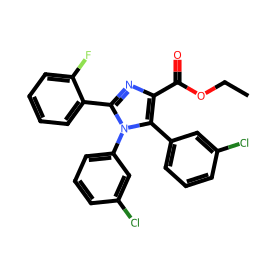 CCOC(=O)c1nc(-c2ccccc2F)n(-c2cccc(Cl)c2)c1-c1cccc(Cl)c1